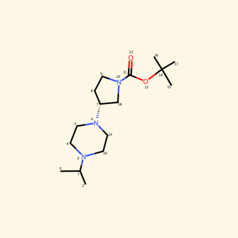 CC(C)N1CCN([C@@H]2CCN(C(=O)OC(C)(C)C)C2)CC1